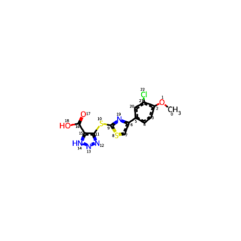 COc1ccc(-c2csc(Sc3nn[nH]c3C(=O)O)n2)cc1Cl